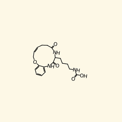 O=C(O)NCCCCC1NC(=O)CCC=CCOc2ccccc2NC1=O